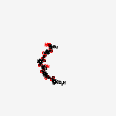 CCCCC(CO)(CO)COC(=O)c1ccc(C(=O)OCCOC(=O)c2cccc(C(=O)OCC(CC)(CO)COC(=O)c3ccc(C(=O)OCCOC(=O)c4cccc(C(=O)O)c4)cc3)c2)cc1